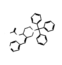 CC(=O)SC1CCN(C(c2ccccc2)(c2ccccc2)c2ccccc2)C/C1=C/c1ccncc1